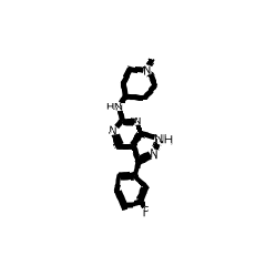 CN1CCC(Nc2ncc3c(-c4cccc(F)c4)n[nH]c3n2)CC1